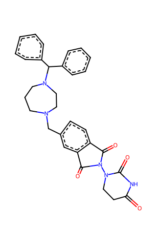 O=C1CCN(N2C(=O)c3ccc(CN4CCCN(C(c5ccccc5)c5ccccc5)CC4)cc3C2=O)C(=O)N1